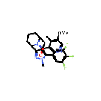 COc1cncc(C(=O)N2C3CCCC2c2nn(C)c(-c4cc(F)c(F)c(F)c4)c2C3)c1C